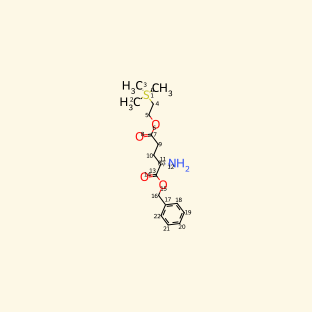 CS(C)(C)CCOC(=O)CC[C@H](N)C(=O)OCc1ccccc1